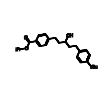 CC(C)OC(=O)c1ccc(CCC(O)CCc2ccc(C(C)(C)C)cc2)cc1